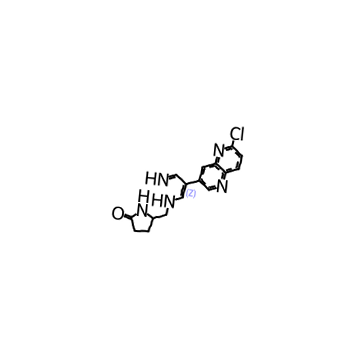 N=C/C(=C\NCC1CCC(=O)N1)c1cnc2ccc(Cl)nc2c1